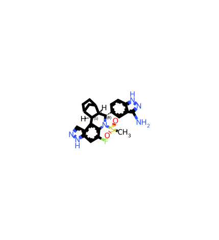 CS(=O)(=O)N1c2c(F)cc3[nH]ncc3c2[C@H]2C3CCC(C3)[C@H]2[C@@H]1c1ccc2[nH]nc(N)c2c1